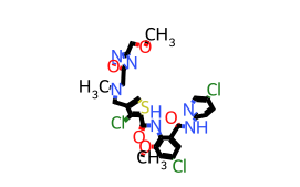 COCc1noc(CN(C)Cc2csc(C(=O)Nc3c(OC)cc(Cl)cc3C(=O)Nc3ccc(Cl)cn3)c2Cl)n1